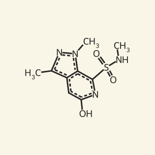 CNS(=O)(=O)c1nc(O)cc2c(C)nn(C)c12